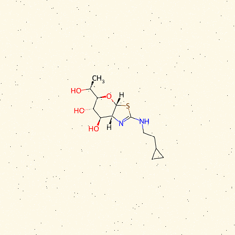 C[C@H](O)[C@H]1O[C@@H]2SC(NCCC3CC3)=N[C@@H]2[C@@H](O)[C@@H]1O